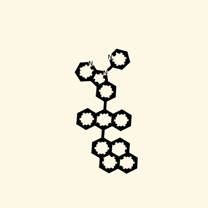 c1ccc(-n2c3ccc(-c4c5ccccc5c(-c5ccc6ccc7cccc8ccc5c6c78)c5ccccc45)cc3c3cccnc32)nc1